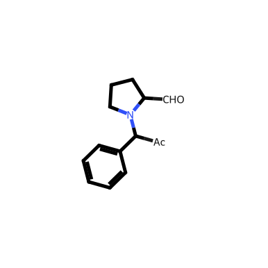 CC(=O)C(c1ccccc1)N1CCCC1C=O